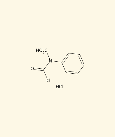 Cl.O=C(O)N(C(=O)Cl)c1ccccc1